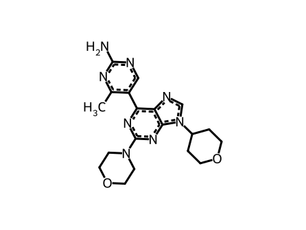 Cc1nc(N)ncc1-c1nc(N2CCOCC2)nc2c1ncn2C1CCOCC1